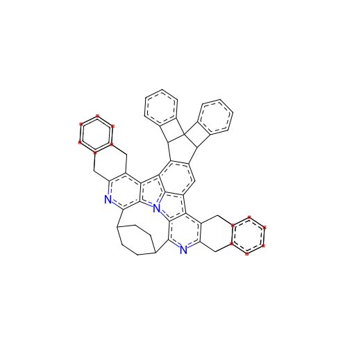 c1ccc2c(c1)C1c3ccccc3C2c2c1nc1c3c2c2cc4c(c5c6c7c(nc(c6n3c25)C2CCC1CC2)C1c2ccccc2C7c2ccccc21)C1c2ccccc2C12c1ccccc1C42